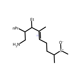 CCCC(CN)C(CC)/C(C)=C/CCC(C)[S+](C)[O-]